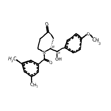 COc1ccc([C@@H](O)[C@H]2CC(=O)CCN2C(=O)c2cc(C)cc(C)c2)cc1